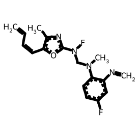 C=C/C=C\c1oc(N(F)CN(C)c2ccc(F)cc2N=C)nc1C